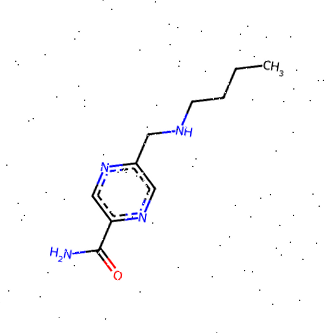 CCCCNCc1cnc(C(N)=O)cn1